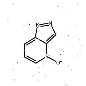 [O-][s+]1cccc2nncc1-2